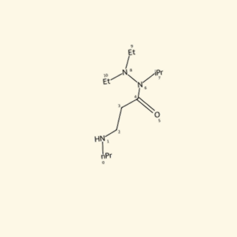 CCCNCCC(=O)N(C(C)C)N(CC)CC